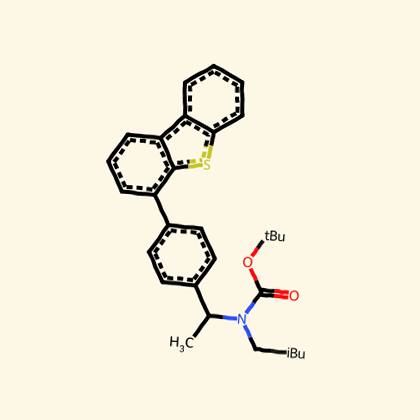 CCC(C)CN(C(=O)OC(C)(C)C)C(C)c1ccc(-c2cccc3c2sc2ccccc23)cc1